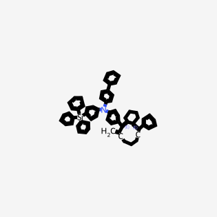 C=C1CCCCC/C(c2ccccc2)=C2/CCCC/C2=C/1c1ccc(N(c2ccc(-c3ccccc3)cc2)c2ccc([Si](c3ccccc3)(c3ccccc3)c3ccccc3)cc2)cc1